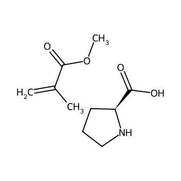 C=C(C)C(=O)OC.O=C(O)[C@@H]1CCCN1